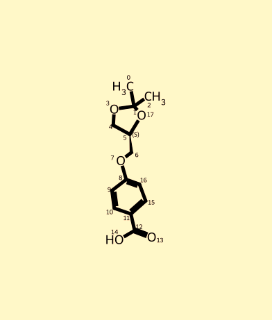 CC1(C)OC[C@H](COc2ccc(C(=O)O)cc2)O1